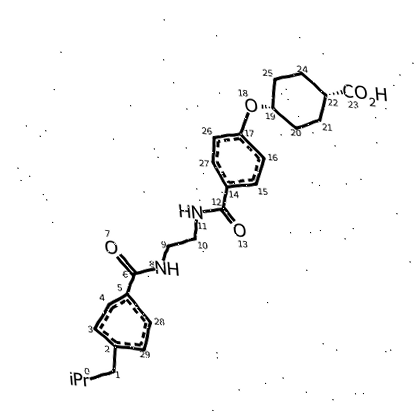 CC(C)Cc1ccc(C(=O)NCCNC(=O)c2ccc(O[C@H]3CC[C@@H](C(=O)O)CC3)cc2)cc1